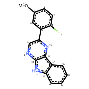 COc1ccc(F)c(-c2cnc3[nH]c4ccccc4c3n2)c1